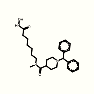 CN(CCCCCCC(=O)NO)C(=O)C1CCN(C(c2ccccc2)c2ccccc2)CC1